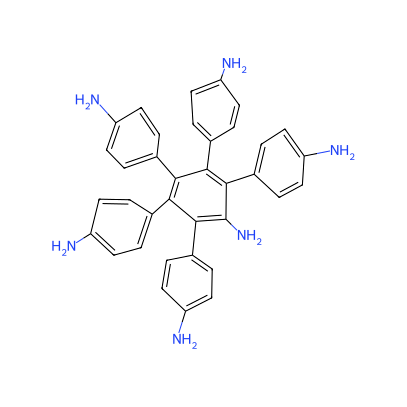 Nc1ccc(-c2c(N)c(-c3ccc(N)cc3)c(-c3ccc(N)cc3)c(-c3ccc(N)cc3)c2-c2ccc(N)cc2)cc1